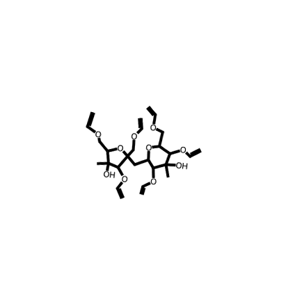 C=COCC1OC(CC2(COC=C)OC(COC=C)C(C)(O)C2OC=C)C(OC=C)C(C)(O)C1OC=C